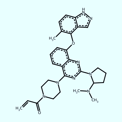 C=CC(=O)N1CCN(c2nc(N3CCCC3N(C)C)nc3c(Oc4c(C)ccc5[nH]ncc45)cccc23)CC1